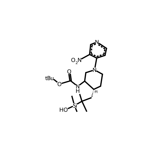 CC(C)(C)OC(=O)NC1CN(c2ccncc2[N+](=O)[O-])CC[C@@H]1CC(C)(C)[Si](C)(C)O